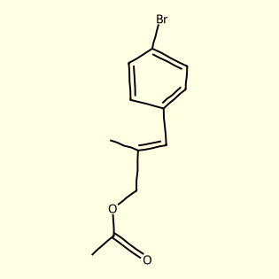 CC(=O)OC/C(C)=C/c1ccc(Br)cc1